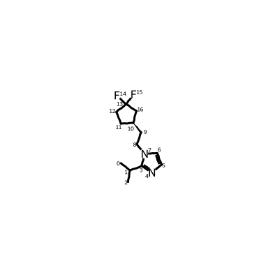 CC(C)c1nccn1CC[C@H]1CCC(F)(F)C1